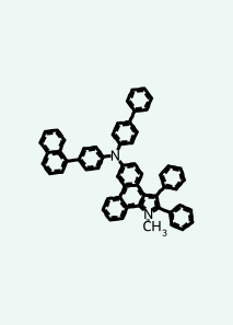 Cn1c(-c2ccccc2)c(-c2ccccc2)c2c3ccc(N(c4ccc(-c5ccccc5)cc4)c4ccc(-c5cccc6ccccc56)cc4)cc3c3ccccc3c21